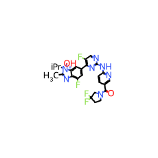 CC1=Nc2c(F)cc(-c3nc(Nc4ccc(C(=O)N5CCC(F)(F)C5)cn4)ncc3F)cc2[N+]1(O)C(C)C